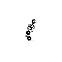 C[C@@H](Nc1cnn(-c2ccc(N(C)c3ccc(F)cc3)cc2)c(=O)c1Cl)C1CCCOC1